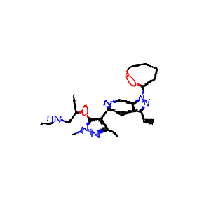 C=Cc1nn(C2CCCCO2)c2cnc(-c3c(C)nn(C)c3OC(C)CNCC)cc12